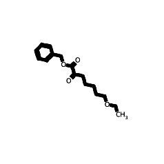 CCOCCCCCC(=O)C(=O)OCc1ccccc1